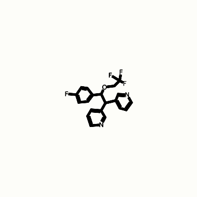 Fc1ccc(C(OCC(F)(F)F)C(c2cccnc2)c2cccnc2)cc1